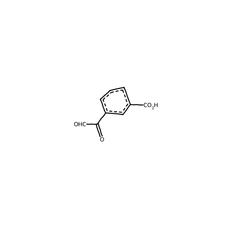 O=CC(=O)c1cccc(C(=O)O)c1